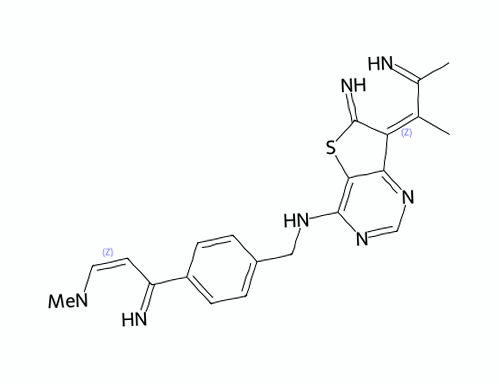 CN/C=C\C(=N)c1ccc(CNc2ncnc3c2SC(=N)/C3=C(/C)C(C)=N)cc1